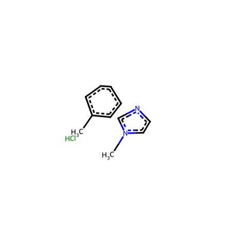 Cc1ccccc1.Cl.Cn1ccnc1